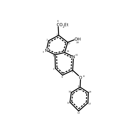 CCOC(=O)c1cnc2ccc(Oc3ccccc3)nc2c1O